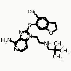 CC(C)(C)CNCCn1c(Sc2cc3c(cc2[124I])CCO3)nc2c(N)nccc21